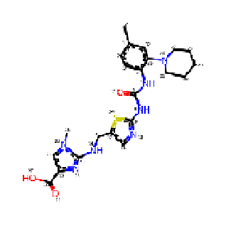 Cc1ccc(NC(=O)Nc2ncc(CNc3nc(C(=O)O)cn3C)s2)c(N2CCCCC2)c1